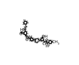 Cc1ccc(NC(=O)C(C)c2cc(O)cc(N3CCCN(c4ccc(C(=O)NSc5ccc(NCCSc6ccccc6)c(N=O)c5)cc4)CC3)c2)cc1